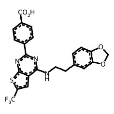 O=C(O)c1ccc(-c2nc(NCCc3ccc4c(c3)OCO4)c3cc(C(F)(F)F)sc3n2)cc1